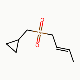 C/C=C/CS(=O)(=O)CC1CC1